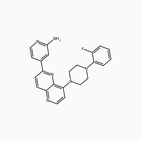 Nc1cc(-c2ccc3nccc(N4CCN(c5ccccc5F)CC4)c3n2)ccn1